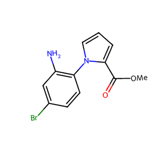 COC(=O)c1cccn1-c1ccc(Br)cc1N